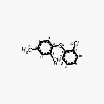 Cc1ccc(Sc2ccccc2Cl)c(C)c1